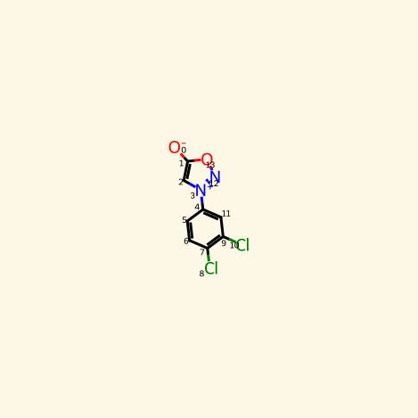 [O-]c1c[n+](-c2ccc(Cl)c(Cl)c2)no1